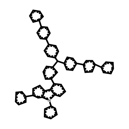 c1ccc(-c2ccc(-c3ccc(C(c4ccc(-c5ccc(-c6ccccc6)cc5)cc4)c4cccc(-c5cccc6c5c5ccc(-c7ccccc7)cc5n6-c5ccccc5)c4)cc3)cc2)cc1